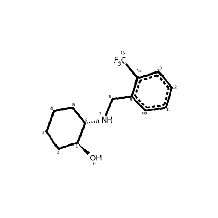 O[C@H]1CCCC[C@@H]1NCc1ccccc1C(F)(F)F